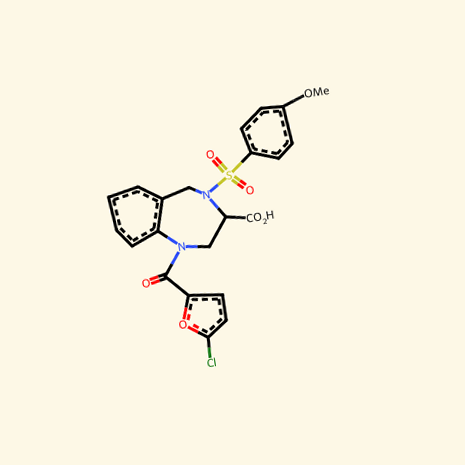 COc1ccc(S(=O)(=O)N2Cc3ccccc3N(C(=O)c3ccc(Cl)o3)CC2C(=O)O)cc1